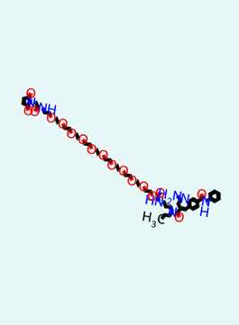 CCCN(CCCNC(=O)OCCOCCOCCOCCOCCOCCOCCOCCOCCOCCOCCNC(=O)CN1C(=O)C=CC1=O)C(=O)C1=Cc2ccc(C(=O)Nc3ccccc3)cc2N=C(N)C1